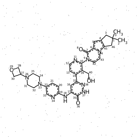 CC1(C)Cc2cc3c(=O)n(-c4nccc(-c5cc(Nc6ccc(N7CCN(C8COC8)CC7)cn6)c(=O)[nH]n5)c4CO)ccn3c2C1